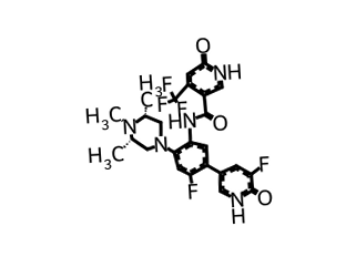 C[C@@H]1CN(c2cc(F)c(-c3c[nH]c(=O)c(F)c3)cc2NC(=O)c2c[nH]c(=O)cc2C(F)(F)F)C[C@H](C)N1C